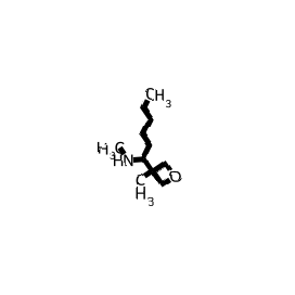 CCCCCC(NC)C1(C)COC1